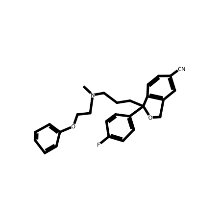 CN(CCCC1(c2ccc(F)cc2)OCc2cc(C#N)ccc21)CCOc1ccccc1